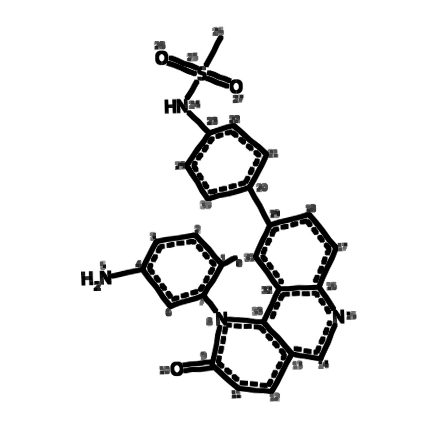 Cc1ccc(N)cc1-n1c(=O)ccc2cnc3ccc(-c4ccc(NS(C)(=O)=O)cc4)cc3c21